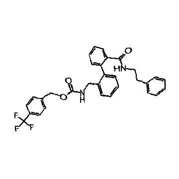 O=C(NCc1ccccc1-c1ccccc1C(=O)NCCc1ccccc1)OCc1ccc(C(F)(F)F)cc1